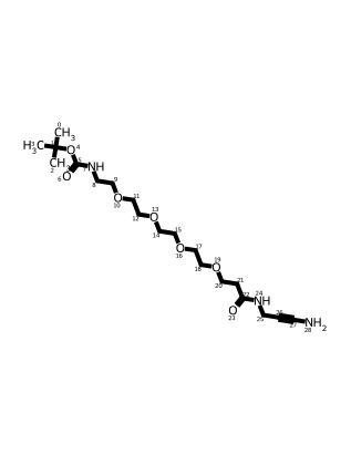 CC(C)(C)OC(=O)NCCOCCOCCOCCOCCC(=O)NCC#CN